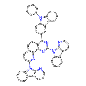 c1ccc(-n2c3ccccc3c3cc(-c4nc(-n5c6ccccc6c6cccnc65)nc5c4ccc4ccc(-n6c7ccccc7c7cccnc76)nc45)ccc32)cc1